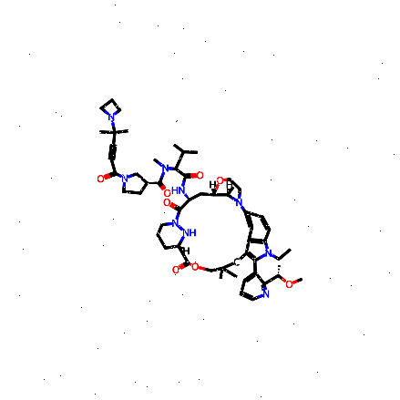 CCn1c(-c2cccnc2[C@H](C)OC)c2c3cc(ccc31)N1CCO[C@@H](C[C@H](NC(=O)C(C(C)C)N(C)C(=O)[C@H]3CCN(C(=O)C#CC(C)(C)N4CCC4)C3)C(=O)N3CCC[C@H](N3)C(=O)OCC(C)(C)C2)[C@@H]1C